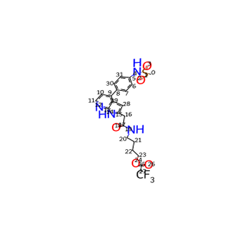 CS(=O)(=O)Nc1ccc(-c2ccnc3[nH]c(CC(=O)NCCCCOC(=O)C(F)(F)F)cc23)cc1